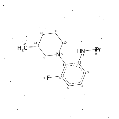 CC(C)Nc1cccc(F)c1N1CCC[C@@H](C)C1